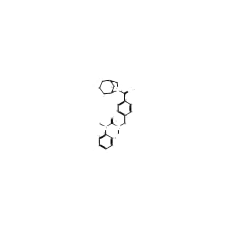 CN(Cc1ccc(C(=O)N2CC3CCCC2C3)cc1)C(=O)N(C)c1ccccc1